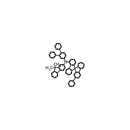 CC1(C)c2ccccc2-c2ccc(N(c3ccc(-c4ccccc4)c(-c4ccccc4)c3)c3cccc4c3-c3ccccc3C43c4ccccc4-c4ccc(-c5ccccc5)cc43)cc21